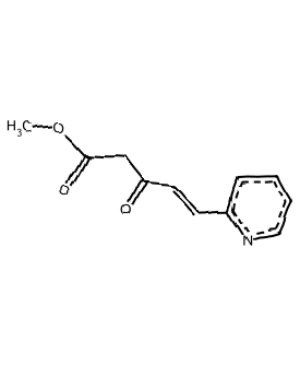 COC(=O)CC(=O)/C=C/c1ccccn1